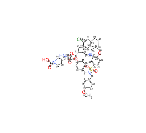 COc1ccc(CN(Cc2ccc(OC)cc2)S(=O)(=O)c2ccc3c(c2)N(C[C@@H]2CC[C@H]2COC(=O)N[C@@H]2CCN(C(=O)O)C2)CC2(CCCc4cc(Cl)ccc42)CO3)cc1